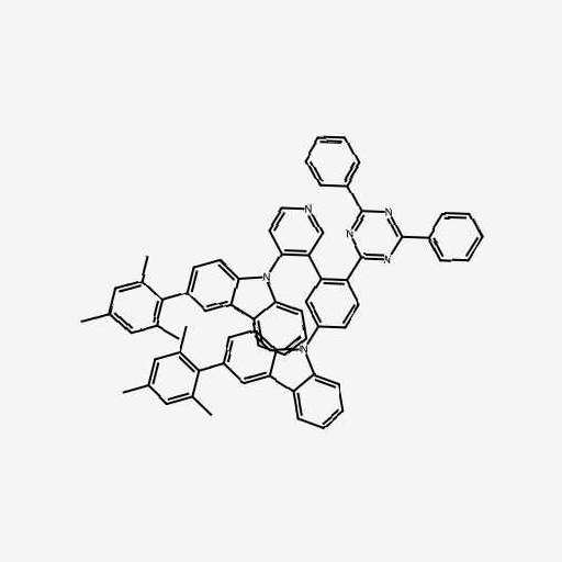 Cc1cc(C)c(-c2ccc3c(c2)c2ccccc2n3-c2ccc(-c3nc(-c4ccccc4)nc(-c4ccccc4)n3)c(-c3cnccc3-n3c4ccccc4c4cc(-c5c(C)cc(C)cc5C)ccc43)c2)c(C)c1